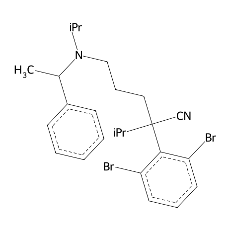 CC(C)N(CCCC(C#N)(c1c(Br)cccc1Br)C(C)C)C(C)c1ccccc1